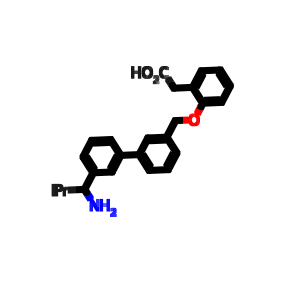 CC(C)C(N)c1cccc(-c2cccc(COc3ccccc3CC(=O)O)c2)c1